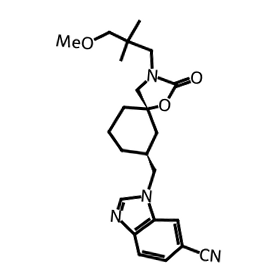 COCC(C)(C)CN1C[C@@]2(CCC[C@H](Cn3cnc4ccc(C#N)cc43)C2)OC1=O